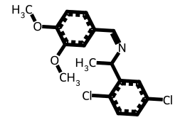 COc1ccc(/C=N\C(C)c2cc(Cl)ccc2Cl)cc1OC